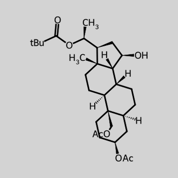 CC(=O)OC[C@]12CC[C@H](OC(C)=O)C[C@@H]1CC[C@H]1[C@H]3[C@H](O)C[C@H]([C@H](C)OC(=O)C(C)(C)C)[C@@]3(C)CC[C@@H]12